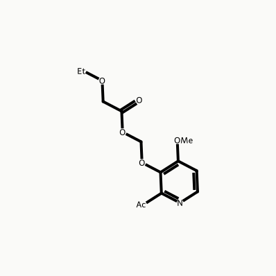 CCOCC(=O)OCOc1c(OC)ccnc1C(C)=O